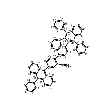 N#Cc1cc(-c2c3ccccc3c(-c3ccccc3)c3ccccc23)ccc1-c1ccc2c3c(cccc13)-c1c-2c(-c2ccccc2)c2ccccc2c1-c1ccccc1